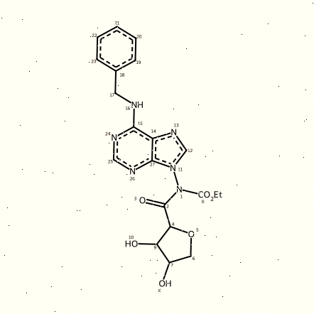 CCOC(=O)N(C(=O)C1OCC(O)C1O)n1cnc2c(NCc3ccccc3)ncnc21